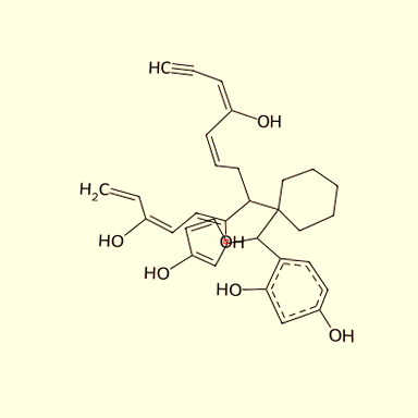 C#C/C=C(O)\C=C/CC(/C(O)=C/C=C(/O)C=C)C1(C(c2ccc(O)cc2O)C2C=CC(O)=C2)CCCCC1